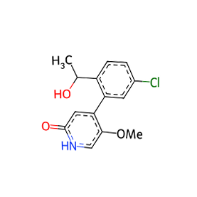 COc1c[nH]c(=O)cc1-c1cc(Cl)ccc1C(C)O